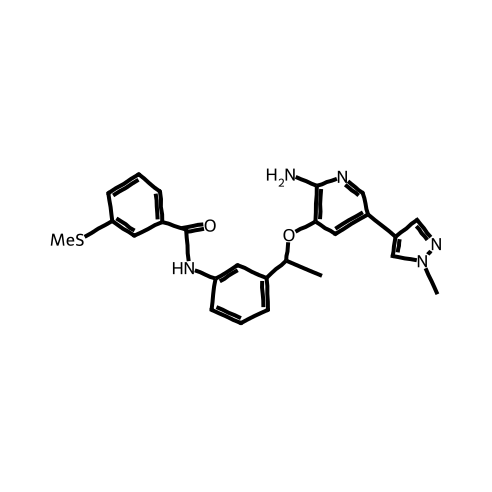 CSc1cccc(C(=O)Nc2cccc(C(C)Oc3cc(-c4cnn(C)c4)cnc3N)c2)c1